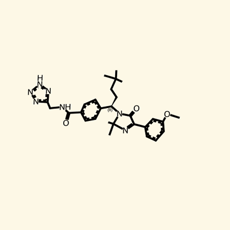 COc1cccc(C2=NC(C)(C)N([C@H](CCC(C)(C)C)c3ccc(C(=O)NCc4nn[nH]n4)cc3)C2=O)c1